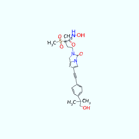 CC(C)(CO)c1ccc(C#Cc2cc3n(c2)C(=O)N(CC[C@](C)(C(=O)NO)S(C)(=O)=O)C3)cc1